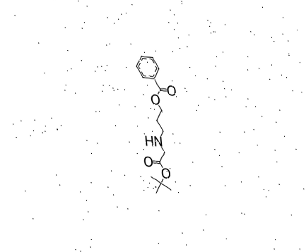 CC(C)(C)OC(=O)CNCCCOC(=O)c1ccccc1